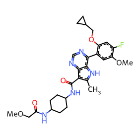 COCC(=O)NC1CCC(NC(=O)c2c(C)[nH]c3c(-c4cc(OC)c(F)cc4OCC4CC4)ncnc23)CC1